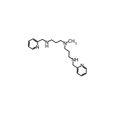 CN(CCCNCc1ccccn1)CCCNCc1ccccn1